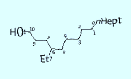 CCCCCCCCCCCCC(CC)CCCO